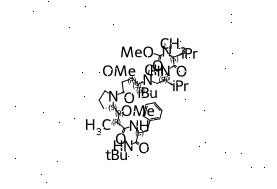 CC[C@H](C)[C@@H]([C@@H](CC(=O)N1CCC[C@H]1[C@H](OC)[C@@H](C)C(=O)N[C@@H](Cc1ccccc1)C(=O)NC(C)(C)C)OC)N(C)C[C@@H](NC(=O)[C@H](C(C)C)N(C)C(=O)OC)C(C)C